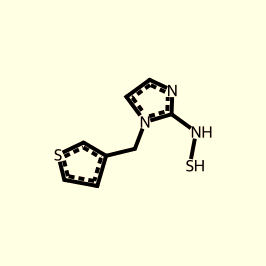 SNc1nccn1Cc1ccsc1